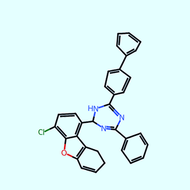 Clc1ccc(C2N=C(c3ccccc3)N=C(c3ccc(-c4ccccc4)cc3)N2)c2c3c(oc12)C=CCC3